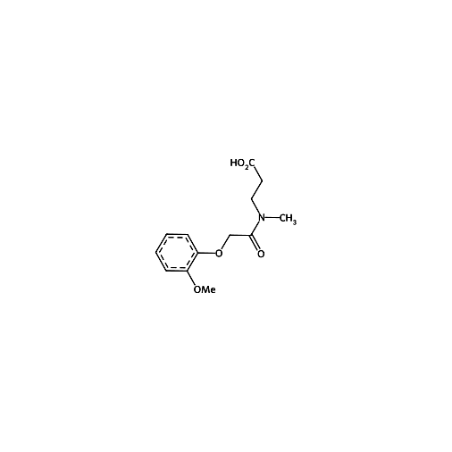 COc1ccccc1OCC(=O)N(C)CCC(=O)O